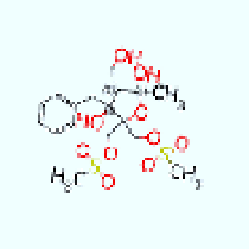 C[C@]1(O)OC(COS(C)(=O)=O)(COS(C)(=O)=O)[C@](O)(Cc2ccccc2)[C@@H]1CO